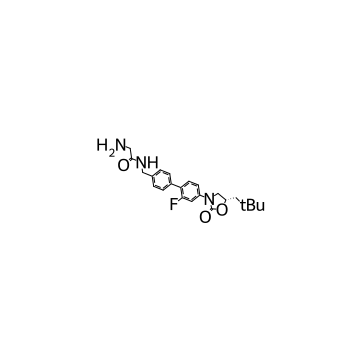 CC(C)(C)C[C@H]1CN(c2ccc(-c3ccc(CNC(=O)CN)cc3)c(F)c2)C(=O)O1